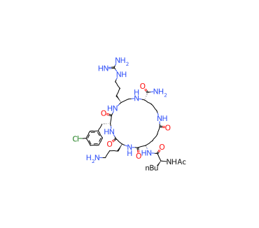 CCCC[C@H](NC(C)=O)C(=O)N[C@H]1CCC(=O)NCC[C@@H](C(N)=O)NC[C@H](CCCNC(=N)N)NC(=O)[C@@H](Cc2cccc(Cl)c2)NC(=O)[C@H](CCCN)NC1=O